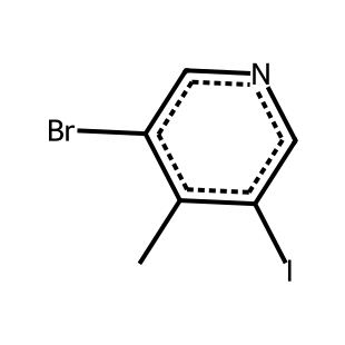 Cc1c(Br)cncc1I